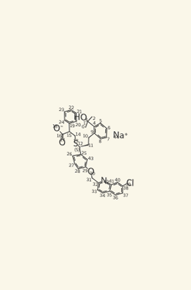 CC(C)(O)c1ccccc1CC[C@H](SCC(C(=O)[O-])c1ccccc1)c1cccc(OCc2ccc3ccc(Cl)cc3n2)c1.[Na+]